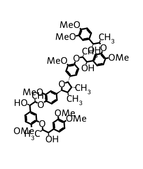 COc1ccc([C@@H](O)[C@@H](C)Oc2cc([C@@H](O)[C@@H](C)Oc3ccc([C@H]4O[C@H](c5ccc(O[C@H](C)[C@H](O)c6ccc(OC)c(O[C@H](C)[C@H](O)c7ccc(OC)c(OC)c7)c6)c(OC)c5)[C@H](C)[C@H]4C)cc3OC)ccc2OC)cc1OC